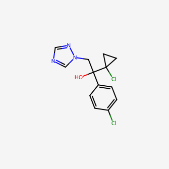 OC(Cn1cncn1)(c1ccc(Cl)cc1)C1(Cl)CC1